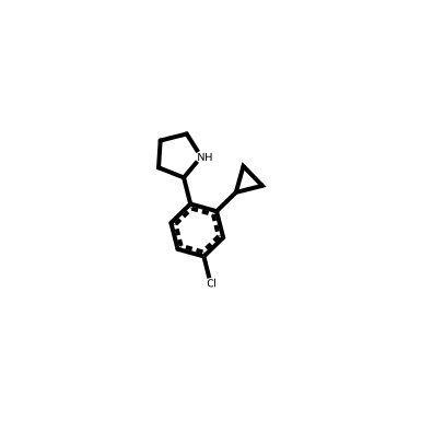 Clc1ccc(C2CCCN2)c(C2CC2)c1